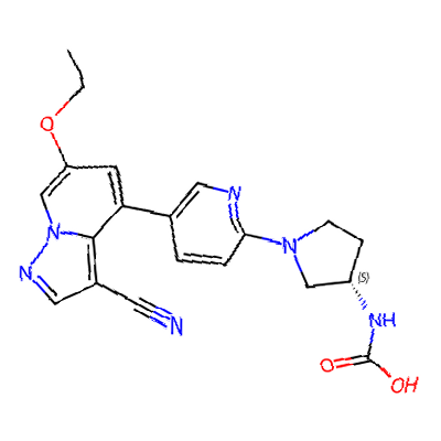 CCOc1cc(-c2ccc(N3CC[C@H](NC(=O)O)C3)nc2)c2c(C#N)cnn2c1